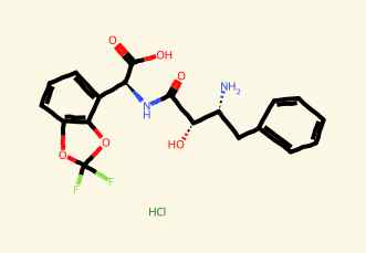 Cl.N[C@H](Cc1ccccc1)[C@H](O)C(=O)N[C@H](C(=O)O)c1cccc2c1OC(F)(F)O2